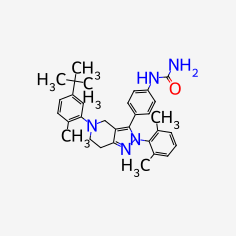 Cc1ccc(C(C)(C)C)cc1N1CCc2nn(-c3c(C)cccc3C)c(-c3ccc(NC(N)=O)cc3)c2C1